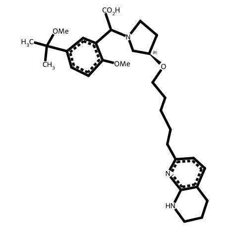 COc1ccc(C(C)(C)OC)cc1C(C(=O)O)N1CC[C@@H](OCCCCCc2ccc3c(n2)NCCC3)C1